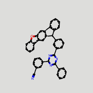 N#Cc1cccc(-c2nc(-c3ccccc3)nc(-c3cccc(C4c5ccccc5-c5cc6oc7ccccc7c6cc54)c3)n2)c1